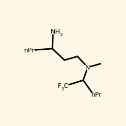 CCCC(N)CCN(C)C(CCC)C(F)(F)F